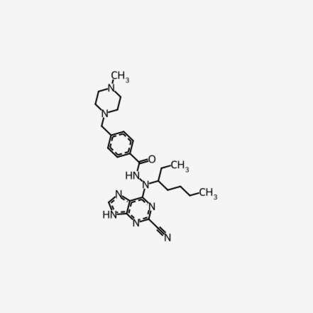 CCCCC(CC)N(NC(=O)c1ccc(CN2CCN(C)CC2)cc1)c1nc(C#N)nc2[nH]cnc12